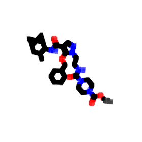 CC1CC2CC23CC3C1NC(=O)c1cnn(CCNC(=O)N2CCN(C(=O)OC(C)(C)C)CC2)c1OCC1CCCCC1